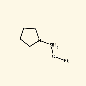 CCO[SiH2]N1CCCC1